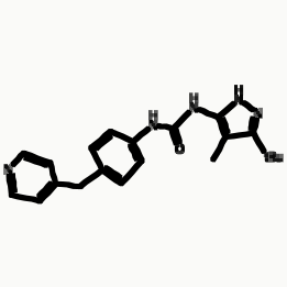 Cc1c(C(C)(C)C)n[nH]c1NC(=O)Nc1ccc(Cc2ccncc2)cc1